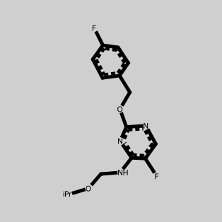 CC(C)OCNc1nc(OCc2ccc(F)cc2)ncc1F